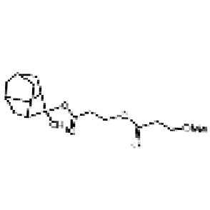 COCCC(=O)OCCC(=O)OC1(C)C2CC3CC(C2)CC1C3